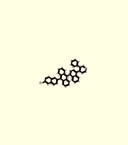 CCc1ccc2cc(-c3c4ccccc4c(-c4ccc(-c5ccncc5-c5ccccc5)c5ccccc45)c4ccccc34)ccc2c1